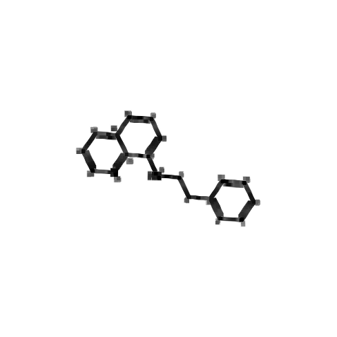 c1ccc(CCNc2cccc3cccnc23)cc1